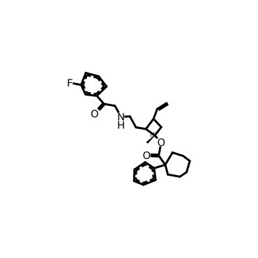 C=CC1C[C@](C)(OC(=O)C2(c3ccccc3)CCCCCC2)C1CCNCC(=O)c1cccc(F)c1